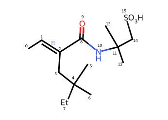 C/C=C(\CC(C)(C)CC)C(=O)NC(C)(C)CS(=O)(=O)O